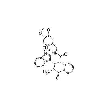 CN1C(=O)c2ccccc2C(C(=O)NCc2ccc3c(c2)OCO3)C1c1cn(C)c2ccccc12